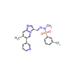 Cc1cc2ncc(/C=N/N(C)S(=O)(=O)c3cccc(C(F)(F)F)c3)n2cc1-c1cccnc1